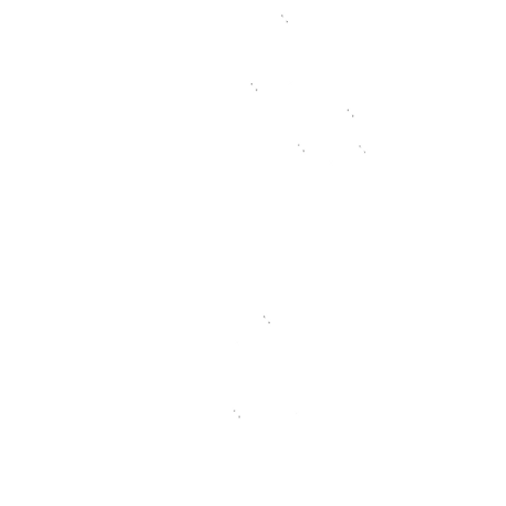 Cn1c(SCCCN2CC3CCN(c4c(F)cccc4F)C3C2)nnc1-c1cnccn1